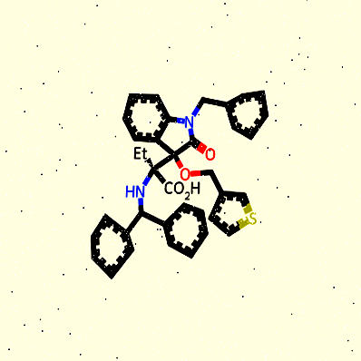 CC[C@](NC(c1ccccc1)c1ccccc1)(C(=O)O)C1(OCc2ccsc2)C(=O)N(Cc2ccccc2)c2ccccc21